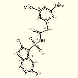 CCCc1ccc2nc(Cl)c(S(=O)(=O)NC(=O)Nc3nc(OC)cc(OC)n3)n2c1